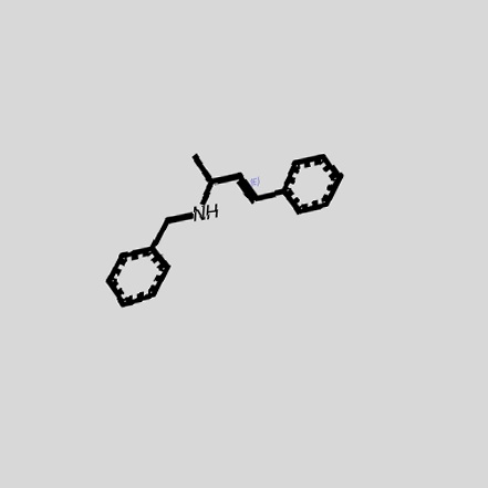 CC(/C=C/c1ccccc1)NCc1ccccc1